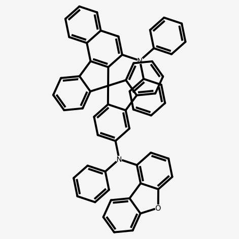 c1ccc(N(c2ccccc2)c2cc3ccccc3c3c2C2(c4ccccc4-c4cc(N(c5ccccc5)c5cccc6oc7ccccc7c56)ccc42)c2ccccc2-3)cc1